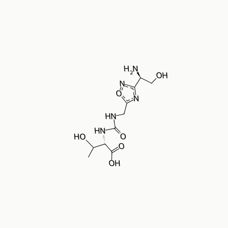 CC(O)[C@H](NC(=O)NCc1nc([C@@H](N)CO)no1)C(=O)O